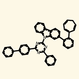 C1=CCC=CC(c2ccccc2-c2ccc3c4ccccc4n(-c4nc(-c5ccccc5)nc(-c5ccc(-c6ccccc6)cc5)n4)c3c2)=C1